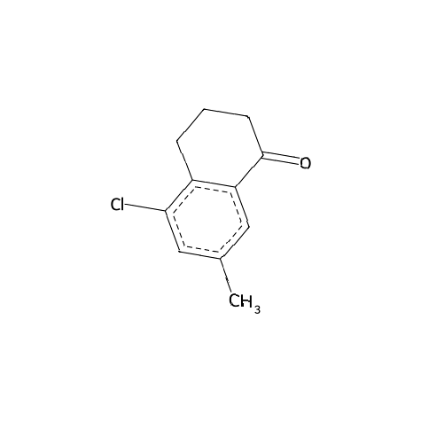 Cc1cc(Cl)c2c(c1)C(=O)CCC2